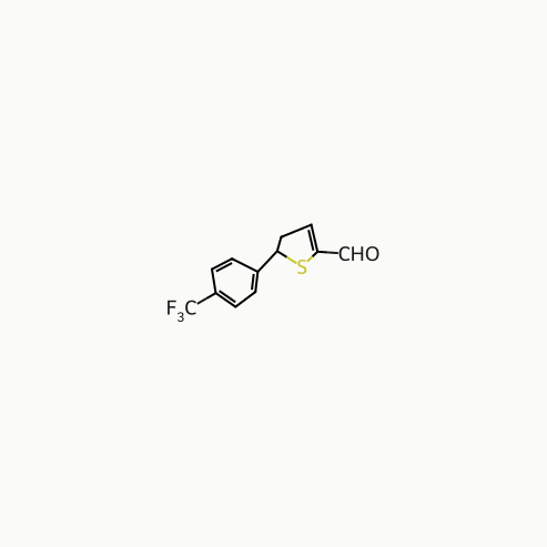 O=CC1=CCC(c2ccc(C(F)(F)F)cc2)S1